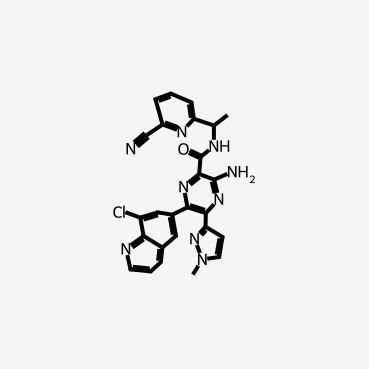 CC(NC(=O)c1nc(-c2cc(Cl)c3ncccc3c2)c(-c2ccn(C)n2)nc1N)c1cccc(C#N)n1